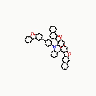 c1ccc(N(c2ccc(-c3ccc4oc5ccccc5c4c3)cc2)c2cccc3oc4c5ccccc5ccc4c23)c(-c2cccc3oc4cc5ccccc5cc4c23)c1